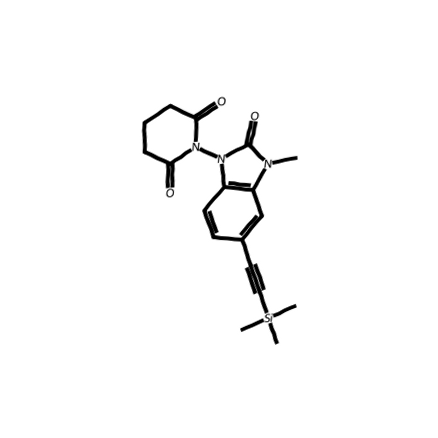 Cn1c(=O)n(N2C(=O)CCCC2=O)c2ccc(C#C[Si](C)(C)C)cc21